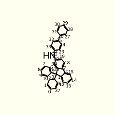 C1=CCC(C2(c3ccccc3)c3ccccc3-c3ccc(Nc4ccc(-c5ccccc5)cc4)cc32)C=C1